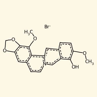 COc1ccc2cc3c4c(OC)c5c(cc4cc[n+]3cc2c1O)OCO5.[Br-]